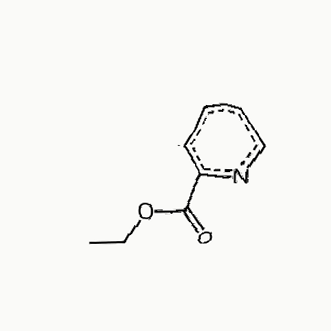 CCOC(=O)c1[c]cccn1